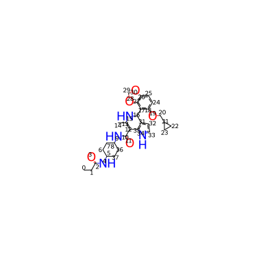 CCC(=O)NC1CCC(NC(=O)C2=C(C)NC(c3c(OCC4CC4)ccc4c3OCO4)c3cc[nH]c32)CC1